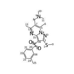 CSc1nn2c(C)c(CN(C)C)c(C)nc2c1S(=O)(=O)c1cccc(C)c1